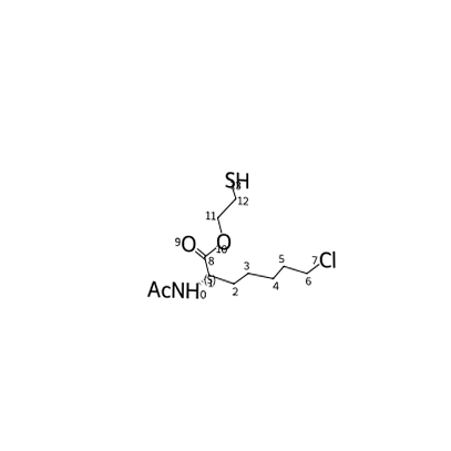 CC(=O)N[C@@H](CCCCCCl)C(=O)OCCS